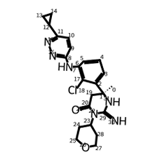 C[C@@]1(c2cccc(Nc3ccc(C4CC4)nn3)c2Cl)CC(=O)N(C2CCOCC2)C(=N)N1